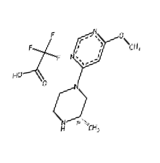 COc1cc(N2CCN[C@@H](C)C2)ncn1.O=C(O)C(F)(F)F